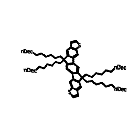 CCCCCCCCCCCCCCCCC1(CCCCCCCCCCCCCCCC)c2cc3c(cc2-c2cc4sccc4cc21)C(CCCCCCCCCCCCCCCC)(CCCCCCCCCCCCCCCC)c1cc2ccsc2cc1-3